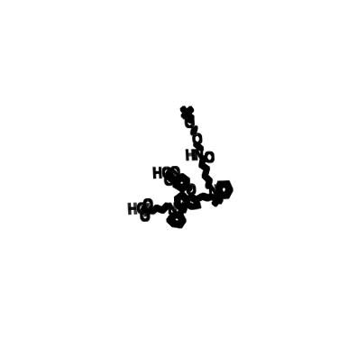 CC(C)(C)COCCOCCNC(=O)CCCCC[N+]1=C(/C=C/C2=C(Oc3ccc(S(=O)(=O)O)cc3)C(=C/C=C3/N(CCCCS(=O)(=O)O)c4ccccc4C3(C)C)/CCC2)C(C)(C)c2ccccc21